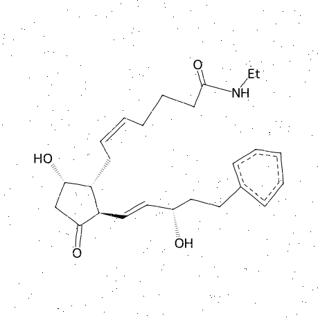 CCNC(=O)CCC/C=C\C[C@H]1[C@@H](O)CC(=O)[C@@H]1/C=C/[C@@H](O)CCc1ccccc1